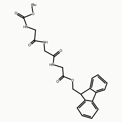 CC(C)(C)OC(=O)NCC(=O)NCC(=O)NCC(=O)OCC1c2ccccc2-c2ccccc21